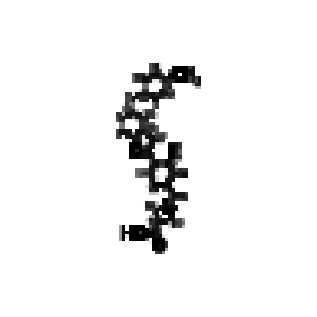 Cc1ccc(Cc2ccc3oc(-c4ccc(CN5CC(C(=O)O)C5)cc4F)cc3c2)cc1